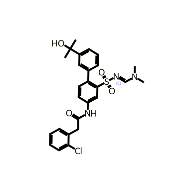 CN(C)/C=N/S(=O)(=O)c1cc(NC(=O)Cc2ccccc2Cl)ccc1-c1cccc(C(C)(C)O)c1